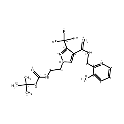 C=C(NCc1ncccc1C)c1cn(CCNC(=O)OC(C)(C)C)nc1C(F)(F)F